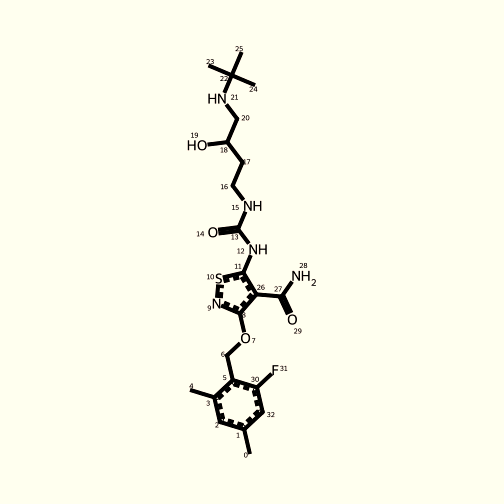 Cc1cc(C)c(COc2nsc(NC(=O)NCCC(O)CNC(C)(C)C)c2C(N)=O)c(F)c1